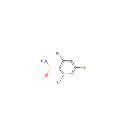 N[S+]([O-])c1c(Br)cc(Br)cc1Br